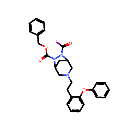 O=C(I)N1C2CC(CN(CCc3ccccc3Oc3ccccc3)C2)N1C(=O)OCc1ccccc1